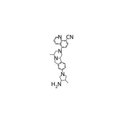 CC1CN(c2ccc3c(c2)CN2C(C)CN(c4ccc(C#N)c5ncccc45)CC32)CC1N